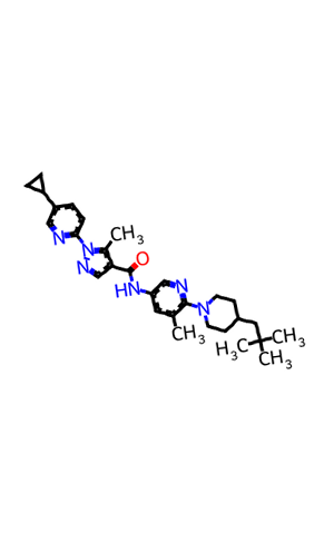 Cc1cc(NC(=O)c2cnn(-c3ccc(C4CC4)cn3)c2C)cnc1N1CCC(CC(C)(C)C)CC1